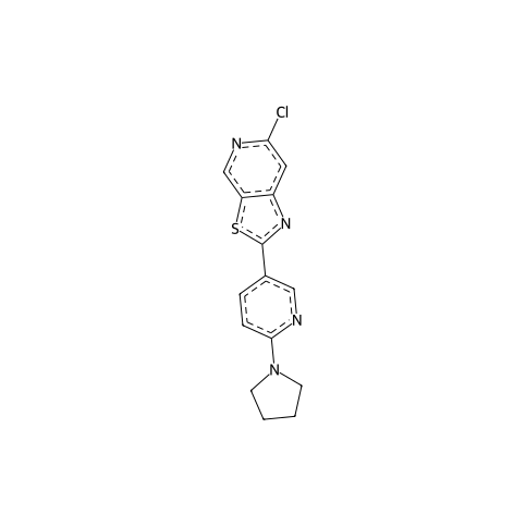 Clc1cc2nc(-c3ccc(N4CCCC4)nc3)sc2cn1